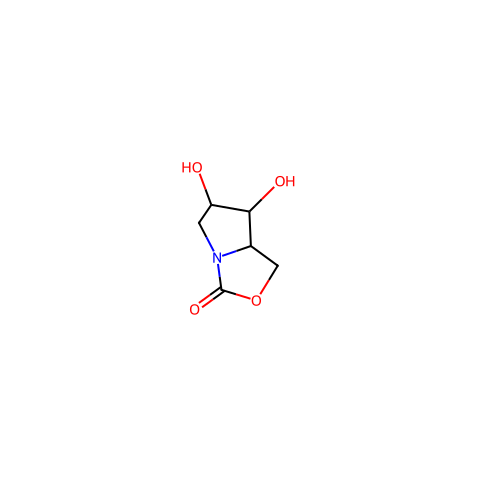 O=C1OCC2C(O)C(O)CN12